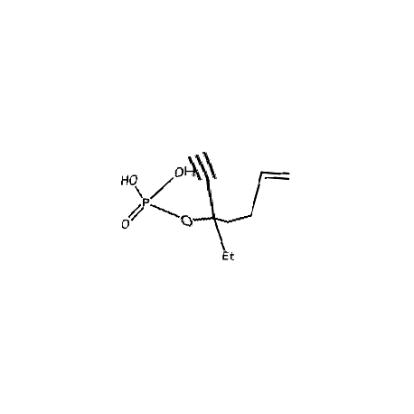 C#CC(CC)(CC=C)OP(=O)(O)O